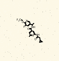 Cc1cc(C(=O)NC(C)c2cnc(OCC(F)(F)F)c(F)c2)cc(NC(=O)CC2CC2)n1